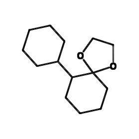 C1CCC(C2CCCCC23OCCO3)CC1